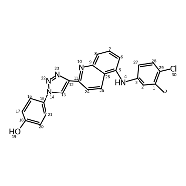 Cc1cc(Nc2cccc3nc(-c4cn(-c5ccc(O)cc5)nn4)ccc23)ccc1Cl